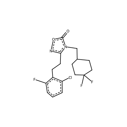 O=c1onc(CCc2c(F)cccc2Cl)n1CC1CCC(F)(F)CC1